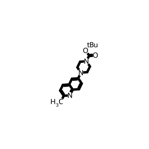 Cc1ccc2cc(N3CCN(C(=O)OC(C)(C)C)CC3)ccc2n1